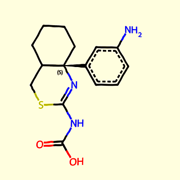 Nc1cccc([C@]23CCCCC2CSC(NC(=O)O)=N3)c1